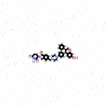 O=C1CCC(N2Cc3c(ccc(CN4CCN(c5ccc([C@H]6c7ccc(O)cc7OC[C@H]6c6ccccc6)cc5)CC4)c3F)C2=O)C(=O)N1